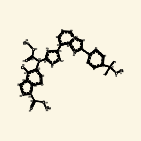 CCOC(C)(C)c1ccc(-c2cn3cccc(-c4nnc(N(C(=O)OC(C)(C)C)c5ccc6c(cnn6C(=O)OC(C)(C)C)c5Cl)s4)c3n2)cc1